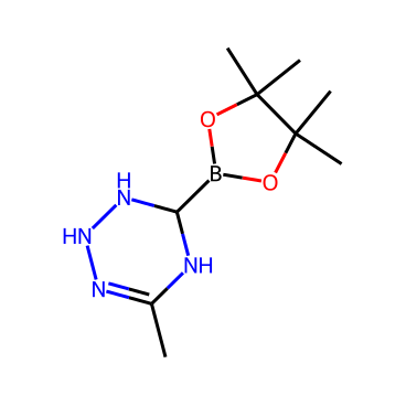 CC1=NNNC(B2OC(C)(C)C(C)(C)O2)N1